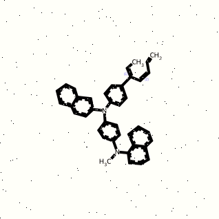 C=C/C=C\C(=C/C)c1ccc(N(c2ccc(N(C)c3cccc4ccccc34)cc2)c2ccc3ccccc3c2)cc1